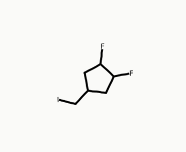 FC1CC(CI)CC1F